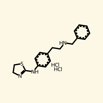 Cl.Cl.c1ccc(CNCCc2ccc(NC3=NCCS3)cc2)cc1